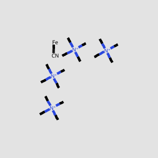 C[N+](C)(C)C.C[N+](C)(C)C.C[N+](C)(C)C.C[N+](C)(C)C.N#[C][Fe]